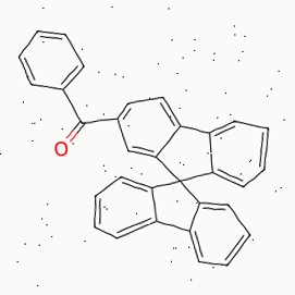 O=C(c1ccccc1)c1ccc2c(c1)C1(c3ccccc3-c3ccccc31)c1ccccc1-2